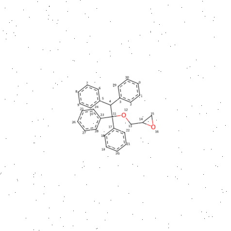 c1ccc(C(c2ccccc2)C(OCC2CO2)(c2ccccc2)c2ccccc2)cc1